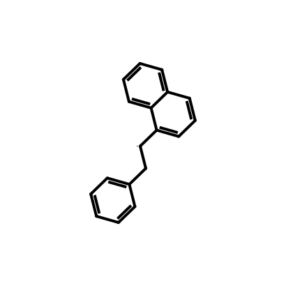 [CH](Cc1ccccc1)c1cccc2ccccc12